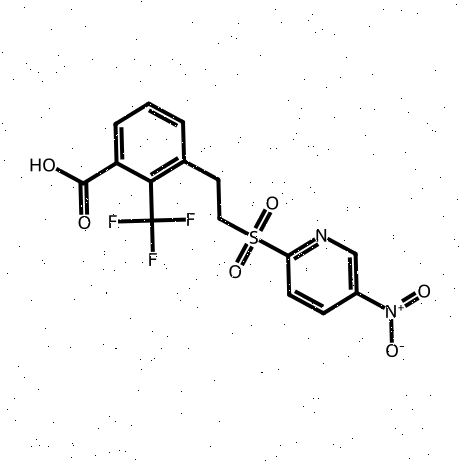 O=C(O)c1cccc(CCS(=O)(=O)c2ccc([N+](=O)[O-])cn2)c1C(F)(F)F